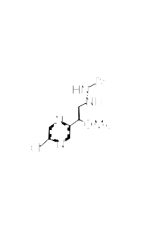 COC(CNNBr)c1cnc(Cl)cn1